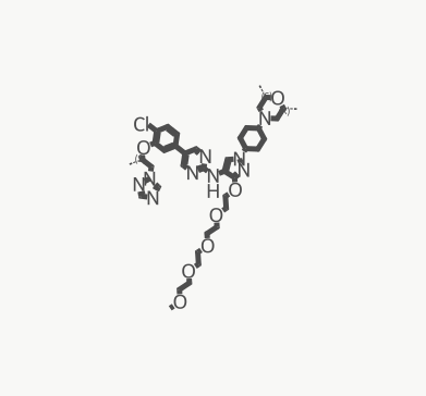 COCCOCCOCCOCCOc1nn(C2CCC(N3C[C@@H](C)O[C@@H](C)C3)CC2)cc1Nc1ncc(-c2ccc(Cl)c(O[C@@H](C)Cn3cncn3)c2)cn1